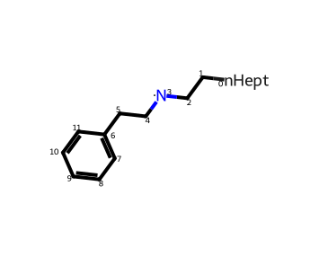 CCCCCCCCC[N]CCc1ccccc1